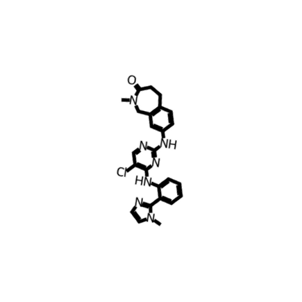 CN1Cc2cc(Nc3ncc(Cl)c(Nc4ccccc4-c4nccn4C)n3)ccc2CCC1=O